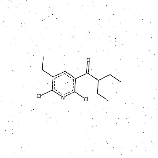 CCc1cc(C(=O)C(CC)CC)c(Cl)nc1Cl